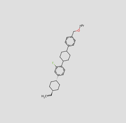 C=C[C@H]1CC[C@H](c2ccc(C3CCC(c4ccc(COCCC)cc4)CC3)c(F)c2)CC1